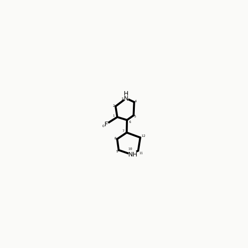 FC1CNCCC1C1CCNCC1